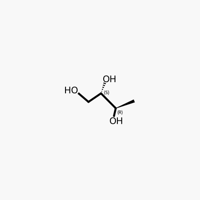 C[C@@H](O)[C@@H](O)CO